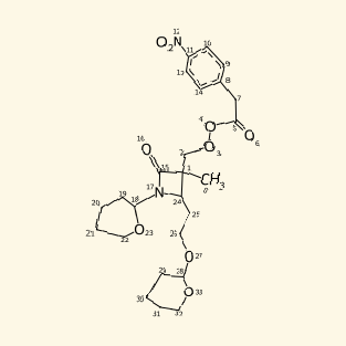 CC1(COOC(=O)Cc2ccc([N+](=O)[O-])cc2)C(=O)N(C2CCCCO2)C1CCOC1CCCCO1